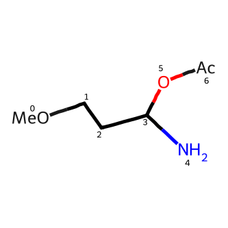 COCCC(N)OC(C)=O